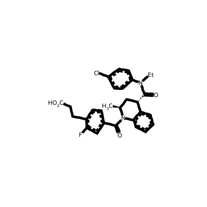 CCN(C(=O)[C@H]1C[C@H](C)N(C(=O)c2ccc(CCC(=O)O)c(F)c2)c2ccccc21)c1ccc(Cl)cc1